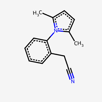 Cc1ccc(C)n1-c1ccccc1CC#N